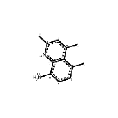 Cc1cc(C)c2c(C)ccc(N)c2n1